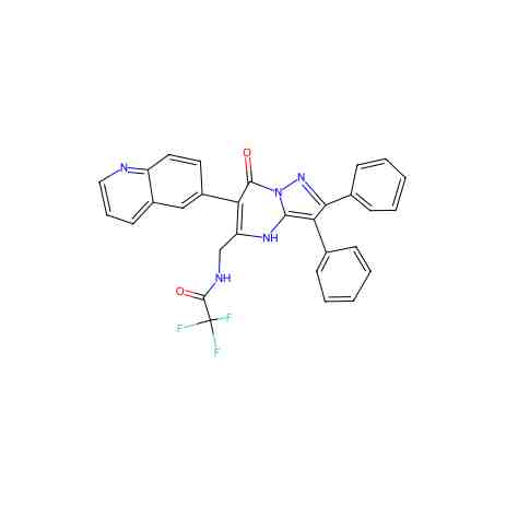 O=C(NCc1[nH]c2c(-c3ccccc3)c(-c3ccccc3)nn2c(=O)c1-c1ccc2ncccc2c1)C(F)(F)F